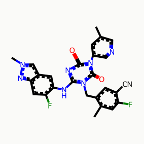 Cc1cncc(-n2c(=O)nc(Nc3cc4cn(C)nc4cc3F)n(Cc3cc(C#N)c(F)cc3C)c2=O)c1